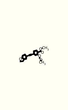 COCOc1cc(C#Cc2ccc3c(c2)CCO3)ccc1C(=O)OC